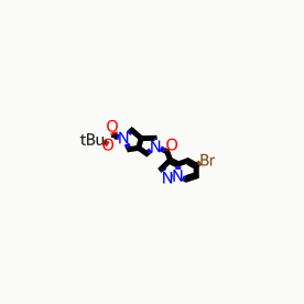 CC(C)(C)OC(=O)N1CC2CN(C(=O)c3cnn4ccc(Br)cc34)CC2C1